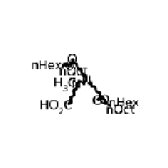 CCCCCCCCC(CCCCCC)COC(=O)CCCCCN(CCCCCC(=O)OCC(CCCCCC)CCCCCCCC)CCN(C)CCCCCC(=O)O